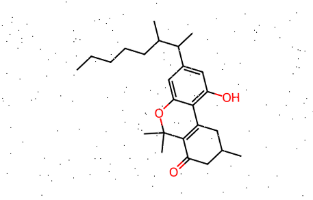 CCCCCC(C)C(C)c1cc(O)c2c(c1)OC(C)(C)C1=C2CC(C)CC1=O